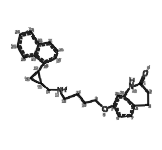 O=C1CCc2ccc(OCCCCNCC3CC3c3cccc4ccccc34)cc2N1